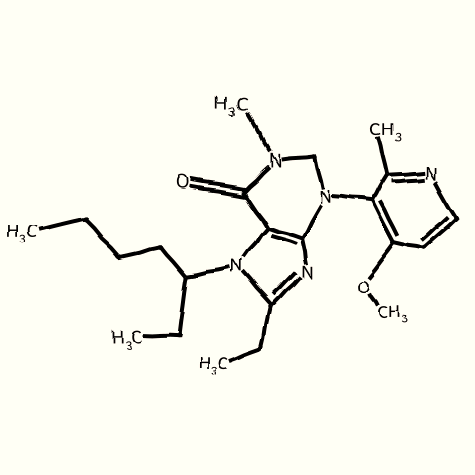 CCCCC(CC)n1c(CC)nc2c1C(=O)N(C)CN2c1c(OC)ccnc1C